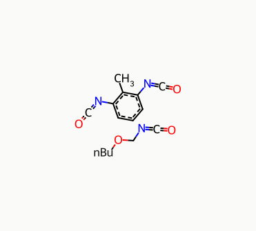 CCCCOCN=C=O.Cc1c(N=C=O)cccc1N=C=O